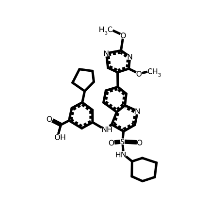 COc1ncc(-c2ccc3c(Nc4cc(C(=O)O)cc(C5CCCC5)c4)c(S(=O)(=O)NC4CCCCC4)cnc3c2)c(OC)n1